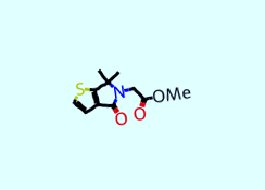 COC(=O)CN1C(=O)c2ccsc2C1(C)C